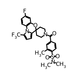 Cc1cc(C(=O)N2CCC3(CC2)Oc2cc(F)ccc2-n2c(C(F)(F)F)ccc23)ccc1S(=O)(=O)N(C)C